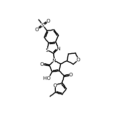 Cc1ccc(C(=O)C2=C(O)C(=O)N(c3nc4ccc(S(C)(=O)=O)cc4s3)C2C2CCOC2)o1